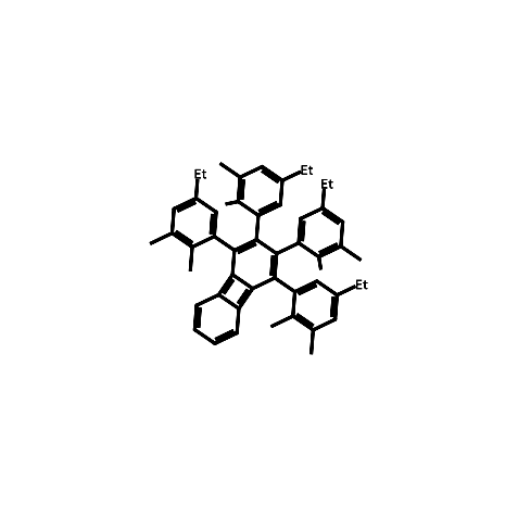 CCc1cc(C)c(C)c(-c2c(-c3cc(CC)cc(C)c3C)c(-c3cc(CC)cc(C)c3C)c3c(c2-c2cc(CC)cc(C)c2C)=c2ccccc2=3)c1